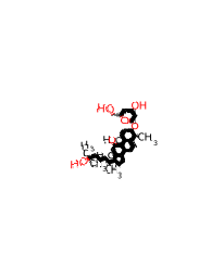 C[C@H](CCCC(C)(C)O)C1CCC2C3CC=C4C(CC[C@H](O[C@H]5C[C@@H](O)C[C@@H](CO)O5)[C@@H]4C)[C@]3(C)C(=O)C[C@@]21C